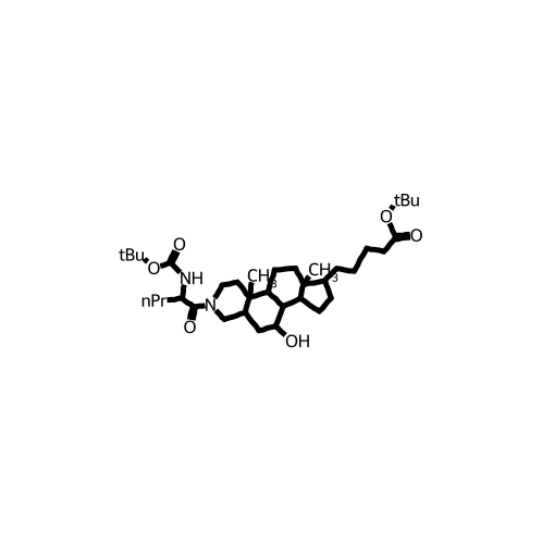 CCCC(NC(=O)OC(C)(C)C)C(=O)N1CCC2(C)C(CC(O)C3C4CCC(CCCCC(=O)OC(C)(C)C)C4(C)CCC32)C1